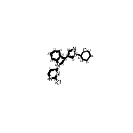 Clc1nccc(-n2cc(-c3cnn(C4CCCCO4)c3)c3ccccc32)n1